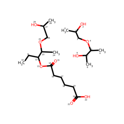 CC(O)COC(C)C(C)O.CCC(OC(=O)CCCCC(=O)O)C(C)OCC(C)O